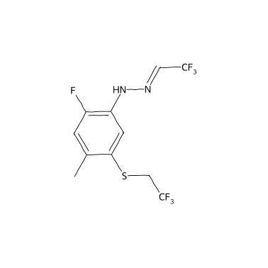 Cc1cc(F)c(NN=CC(F)(F)F)cc1SCC(F)(F)F